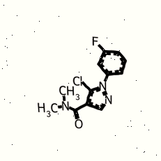 CN(C)C(=O)c1cnn(-c2cccc(F)c2)c1Cl